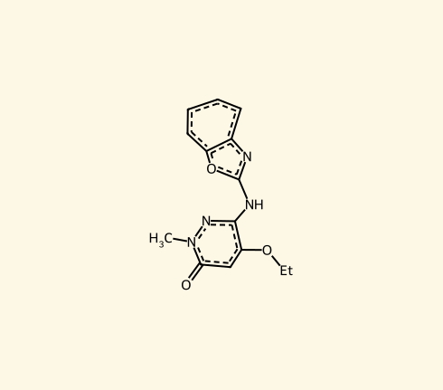 CCOc1cc(=O)n(C)nc1Nc1nc2ccccc2o1